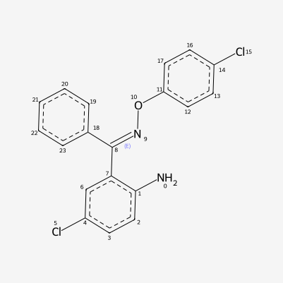 Nc1ccc(Cl)cc1/C(=N/Oc1ccc(Cl)cc1)c1ccccc1